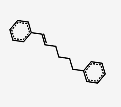 C(=C\c1ccccc1)/CCCCc1ccccc1